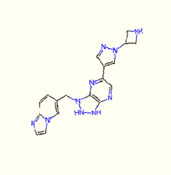 c1cn2cc(CN3NNc4ncc(-c5cnn(C6CNC6)c5)nc43)ccc2n1